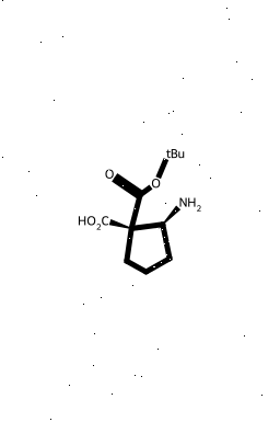 CC(C)(C)OC(=O)[C@@]1(C(=O)O)CCC[C@@H]1N